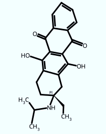 CC[C@@]1(NC(C)C)CCc2c(O)c3c(c(O)c2C1)C(=O)c1ccccc1C3=O